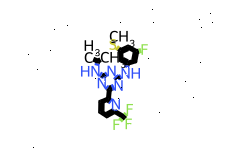 CSc1cc(F)cc(Nc2nc(NC(C)C)nc(-c3cccc(C(F)(F)F)n3)n2)c1